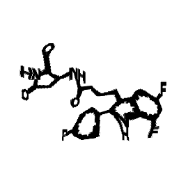 O=C1CC(NC(=O)CCCc2c(-c3ccc(F)cc3)[nH]c3c(F)cc(F)cc23)C(=O)N1